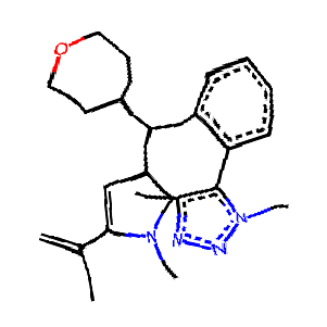 C=C(C)C1=CC(C(c2ccccc2-c2c(C)nnn2C)C2CCOCC2)CN1C